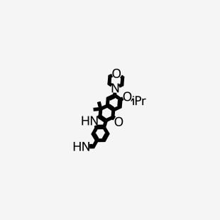 CC(C)Oc1cc2c(cc1N1CCOCC1)C(C)(C)c1[nH]c3cc(C=N)ccc3c1C2=O